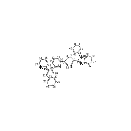 c1ccc(-n2c(-c3ccc(-c4ccc5c6cccnc6c6cc7ccccc7cc6c5n4)cc3)nc3ccccc32)cc1